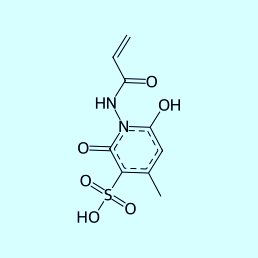 C=CC(=O)Nn1c(O)cc(C)c(S(=O)(=O)O)c1=O